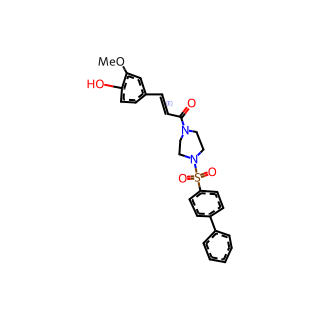 COc1cc(/C=C/C(=O)N2CCN(S(=O)(=O)c3ccc(-c4ccccc4)cc3)CC2)ccc1O